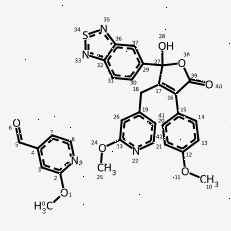 COc1cc(C=O)ccn1.COc1ccc(C2=C(Cc3ccnc(OC)c3)C(O)(c3ccc4nsnc4c3)OC2=O)cc1